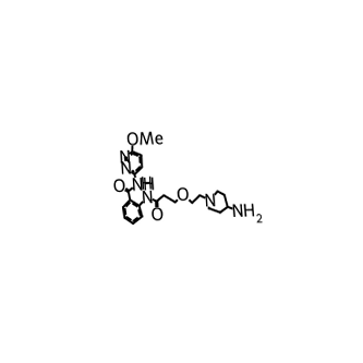 COc1ccc(NC(=O)c2ccccc2NC(=O)CCOCCN2CCC(N)CC2)nn1